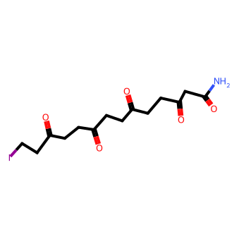 NC(=O)CC(=O)CCC(=O)CCC(=O)CCC(=O)CCI